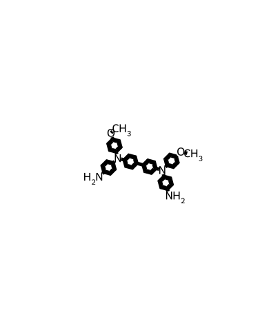 COc1ccc(N(c2ccc(N)cc2)c2ccc(-c3ccc(N(c4ccc(N)cc4)c4ccc(OC)cc4)cc3)cc2)cc1